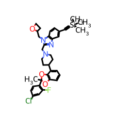 CC1(c2ccc(Cl)cc2F)Oc2cccc(C3CCN(Cc4nc5cc(C#C[Si](C)(C)C)ccc5n4CC4CCO4)CC3)c2O1